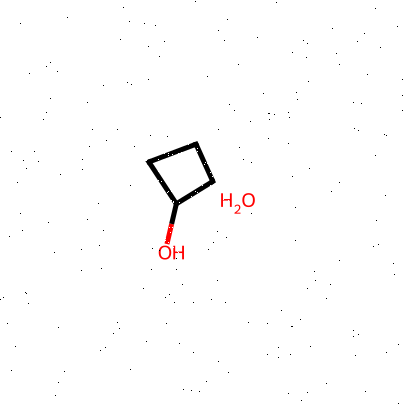 O.OC1CCC1